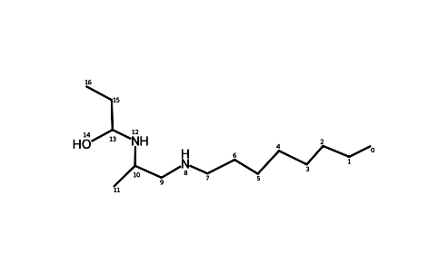 CCCCCCCCNCC(C)NC(O)CC